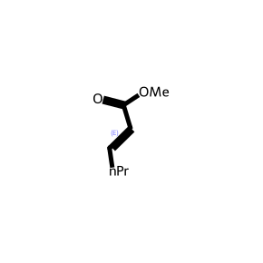 [CH2]CC/C=C/C(=O)OC